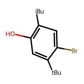 CCC(C)c1cc(Br)c(C(C)(C)C)cc1O